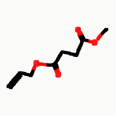 C=CCOC(=O)CCC(=O)OC